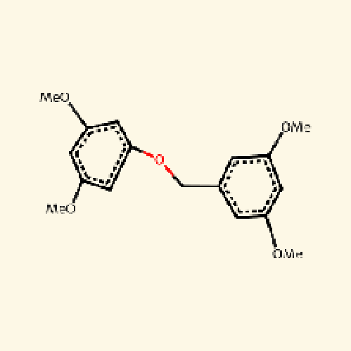 COc1cc(COc2cc(OC)cc(OC)c2)cc(OC)c1